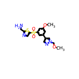 COCn1cc(-c2cc(OC)cc(S(=O)(=O)c3cnc(CN)s3)c2)cn1